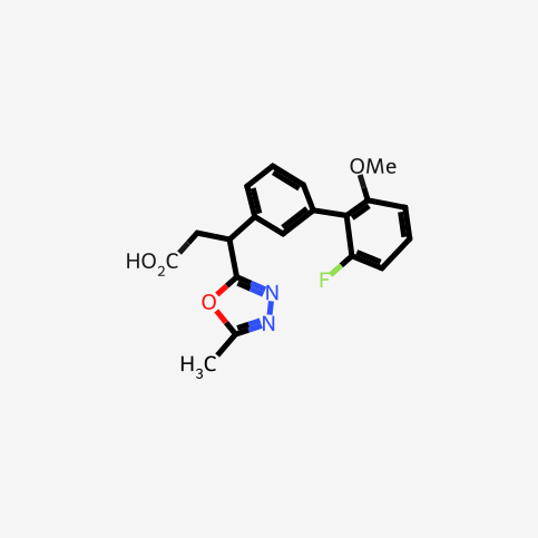 COc1cccc(F)c1-c1cccc(C(CC(=O)O)c2nnc(C)o2)c1